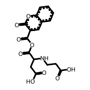 O=C(O)CCNC(CC(=O)O)C(=O)OC(=O)c1cc2ccccc2oc1=O